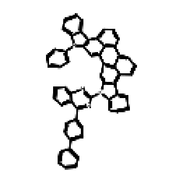 c1ccc(-c2ccc(-c3nc(-n4c5ccccc5c5c6cccc7c8cccc9c8c(cc8c9c9ccccc9n8-c8ccccc8)c(cc54)c76)nc4ccccc34)cc2)cc1